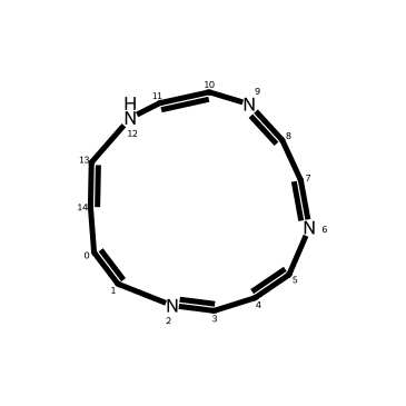 C1=CN=CC=CN=CC=NC=CNC=C1